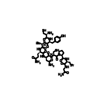 CC[C@H](C)[C@H](NC(=O)[C@H](Cc1ccc(O)cc1)NC(=O)[C@@H](N)CS)C(=O)N[C@@H](CCC(N)=O)C(=O)N[C@H](CC(N)=O)C(=O)N[C@@H](CS)C(=O)N1CCC[C@H]1C(=O)N[C@@H](CC(C)C)C(=O)NCC(N)=O